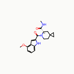 CNC(=O)[C@@H]1CC2(CCN1C(=O)c1cc3c(OC)cccc3[nH]1)CC2